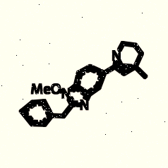 COn1c(Cc2ccccc2)nc2cc(C3=CC4(C)CCCN3C4)ccc21